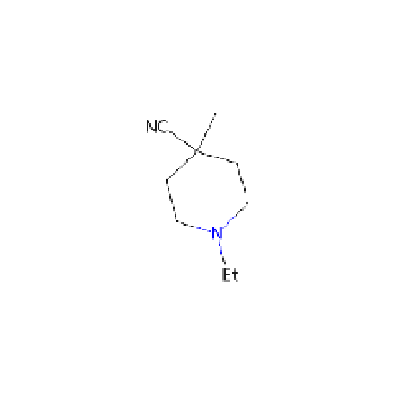 CCN1CCC(C)(C#N)CC1